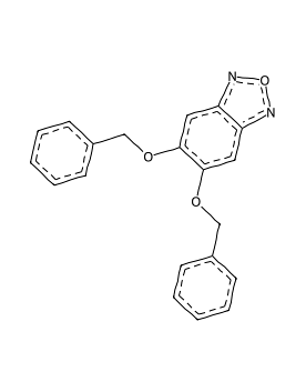 c1ccc(COc2cc3nonc3cc2OCc2ccccc2)cc1